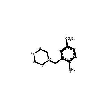 CCOC(=O)c1ccc(N)c(CN2CCOCC2)c1